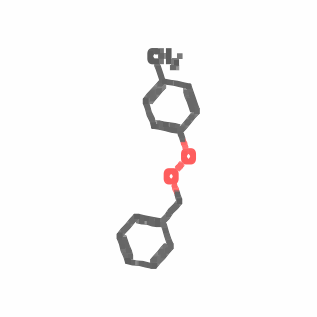 [CH2]c1ccc(OOCc2ccccc2)cc1